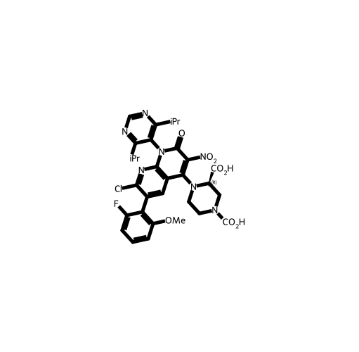 COc1cccc(F)c1-c1cc2c(N3CCN(C(=O)O)C[C@@H]3C(=O)O)c([N+](=O)[O-])c(=O)n(-c3c(C(C)C)ncnc3C(C)C)c2nc1Cl